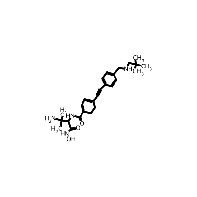 CC(C)(C)CNCc1ccc(C#CC2=CC=C(C(=O)NC(C(=O)NO)C(C)(C)N)CC2)cc1